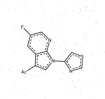 CC(=O)c1cn(-c2cscn2)c2ncc(F)cc12